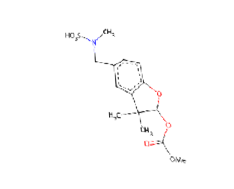 COC(=O)OC1Oc2ccc(CN(C)S(=O)(=O)O)cc2C1(C)C